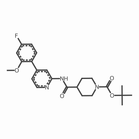 COc1cc(F)ccc1-c1ccnc(NC(=O)C2CCN(C(=O)OC(C)(C)C)CC2)c1